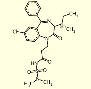 CC[C@H](C)C1N=C(c2ccccc2)c2cc(Cl)ccc2N(CCC(=O)NS(=O)(=O)N(C)C)C1=O